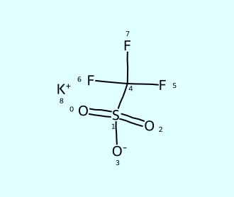 O=S(=O)([O-])C(F)(F)F.[K+]